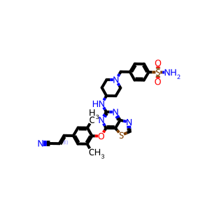 Cc1cc(/C=C/C#N)cc(C)c1Oc1nc(NC2CCN(Cc3ccc(S(N)(=O)=O)cc3)CC2)nc2ncsc12